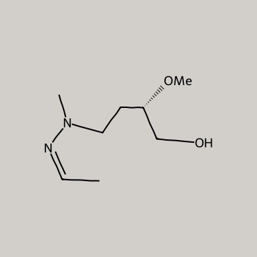 C/C=N\N(C)CC[C@@H](CO)OC